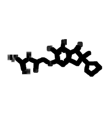 CC1(C2CCCC2)Cc2cc(OCC(=O)NC(=N)N)c(Cl)c(Cl)c2C1=O